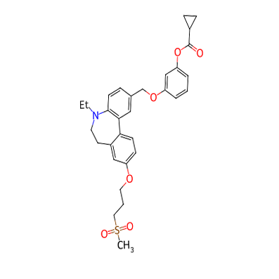 CCN1CCc2cc(OCCCS(C)(=O)=O)ccc2-c2cc(COc3cccc(OC(=O)C4CC4)c3)ccc21